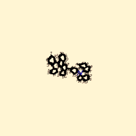 c1ccc(-c2ccccc2-c2cc3c4ccccc4c(-c4ccc(N(c5cccc6ccccc56)c5cccc6ccccc56)cc4)cc3c3ccccc23)cc1